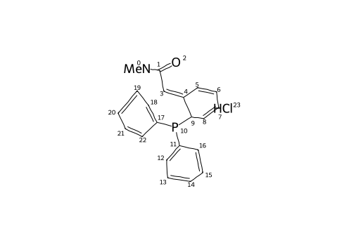 CNC(=O)C=C1C=CC=CC1P(c1ccccc1)c1ccccc1.Cl